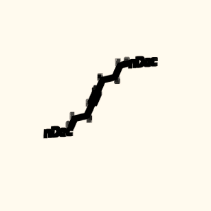 [CH2]CCCCCCCCCCCC#CCCCCCCCCCCCC[CH2]